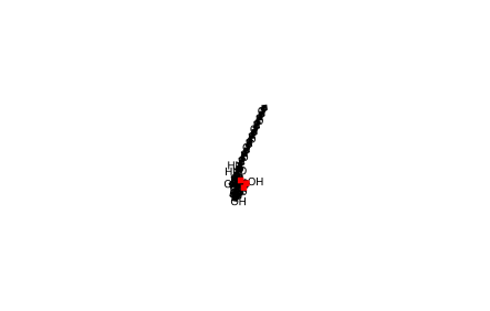 CCOCCOCCOCCOCCOCCOCCNC(=O)Nc1ccc2c(c1)C(=O)OC21c2ccc(O)cc2Oc2cc(O)ccc21